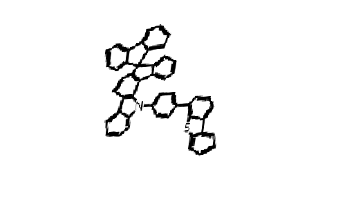 c1ccc2c(c1)-c1ccccc1C21c2ccccc2-c2c1ccc1c3ccccc3n(-c3ccc(-c4cccc5c4sc4ccccc45)cc3)c21